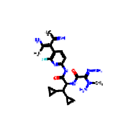 CC(=N)/C(=C(/C)N)c1ccc(NC(=O)[C@@H](NC(=O)/C(=N/N)N(C)N)C(C2CC2)C2CC2)nc1F